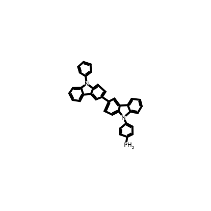 Pc1ccc(-n2c3ccccc3c3cc(-c4ccc5c(c4)c4ccccc4n5-c4ccccc4)ccc32)cc1